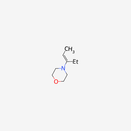 CC=C(CC)N1CCOCC1